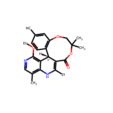 CCOc1ncc(C)c2c1[C@H]1C(=C(CC)N2)C(=O)OC(C)(C)COc2cc(C#N)ccc21